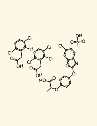 CC(Oc1ccc(Oc2nc3ccc(Cl)cc3o2)cc1)C(=O)O.CS(=O)(=O)O.O=C(O)Cc1c(Cl)ccc(Cl)c1Cl.O=C(O)Cc1c(Cl)ccc(Cl)c1Cl